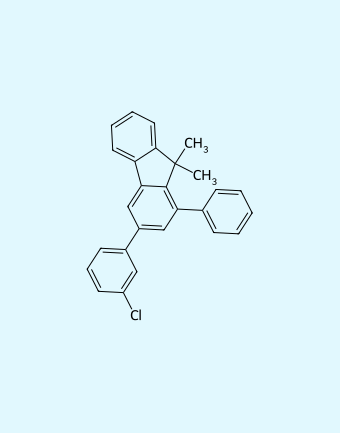 CC1(C)c2ccccc2-c2cc(-c3cccc(Cl)c3)cc(-c3ccccc3)c21